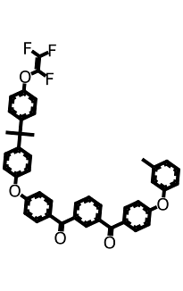 Cc1cccc(Oc2ccc(C(=O)c3cccc(C(=O)c4ccc(Oc5ccc(C(C)(C)c6ccc(OC(F)=C(F)F)cc6)cc5)cc4)c3)cc2)c1